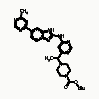 Cc1cc(-c2ccc3nc(Nc4cc(C(C)N5CCN(C(=O)OC(C)(C)C)CC5)ccn4)[nH]c3c2)ncn1